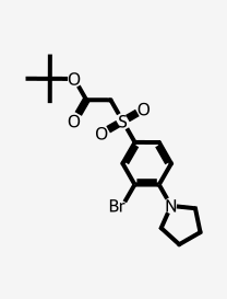 CC(C)(C)OC(=O)CS(=O)(=O)c1ccc(N2CCCC2)c(Br)c1